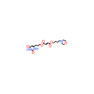 O=C(/C=C/C(=O)OCCCc1cc(=O)[nH]c(=O)[nH]1)OCCCCN1CCOCC1